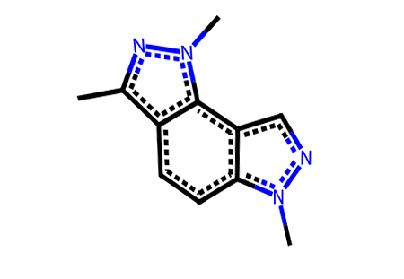 Cc1nn(C)c2c1ccc1c2cnn1C